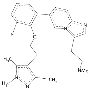 CNCCc1cnc2ccc(-c3cccc(F)c3OCCc3c(C)nn(C)c3C)cn12